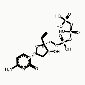 C=C[C@]1(COP(=O)(O)OP(=O)(O)OP(=O)(O)O)O[C@@H](n2ccc(N)nc2=O)C[C@@H]1O